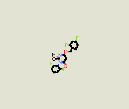 Cc1nc(OCc2ccc(F)cc2F)cc(=O)n1-c1c(F)cccc1F